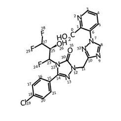 O=C(O)c1ncccc1-n1cnc(Cn2nc(-c3ccc(Cl)cc3)n(C(F)[C@H](O)C(F)F)c2=O)n1